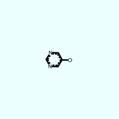 [O]c1cncnc1